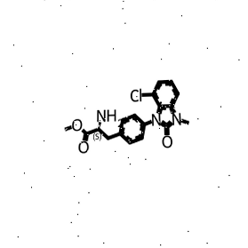 COC(=O)[C@@H](N)Cc1ccc(-n2c(=O)n(C)c3cccc(Cl)c32)cc1